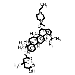 C=C(C)[C@@H]1CC[C@]2(CC(=O)N3CCN(CCC)CC3)CC[C@]3(C)[C@H](CC[C@@H]4[C@@]5(C)CC[C@H](OC(=O)CC(C)(C)CC(=O)O)C(C)(C)[C@@H]5CC[C@]43C)[C@@H]12